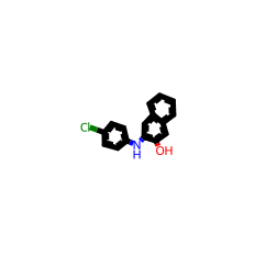 Oc1cc2ccccc2cc1Nc1ccc(Cl)cc1